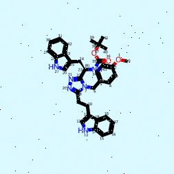 COc1ccc(Cn2c(CCc3c[nH]c4ccccc34)nnc2[C@@H](Cc2c[nH]c3ccccc23)NC(=O)OC(C)(C)C)cc1